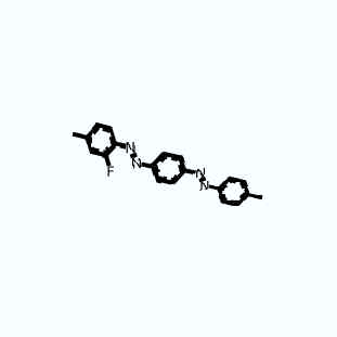 Cc1ccc(N=Nc2ccc(N=Nc3ccc(C)cc3F)cc2)cc1